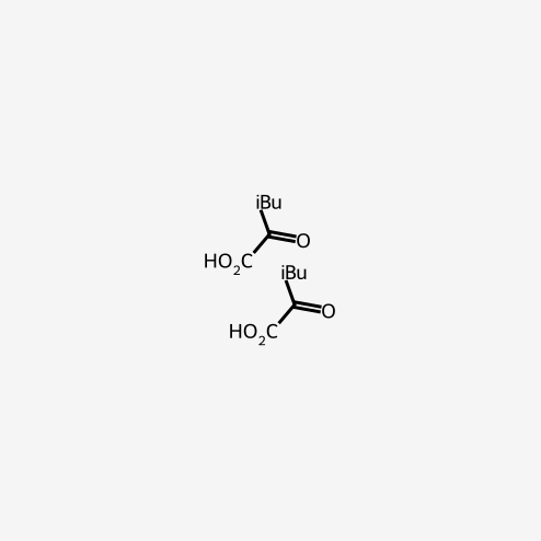 CCC(C)C(=O)C(=O)O.CCC(C)C(=O)C(=O)O